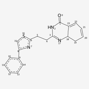 O=C1NC(CCc2nc(-c3ccccc3)cs2)=NC2CC=CC=C12